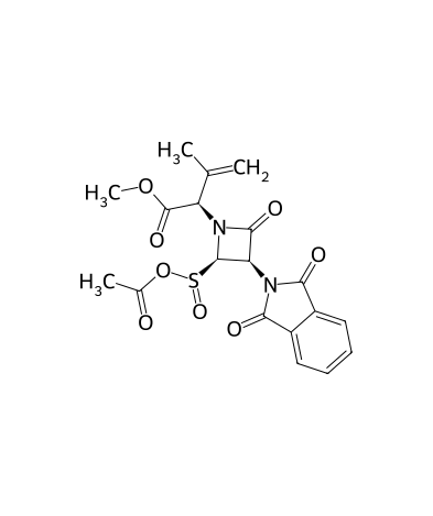 C=C(C)[C@H](C(=O)OC)N1C(=O)[C@@H](N2C(=O)c3ccccc3C2=O)[C@H]1S(=O)OC(C)=O